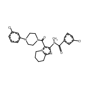 CN(C(=O)c1cccc(Cl)c1)c1nc2n(c1C(=O)N1CCN(c3cccc(Cl)c3)CC1)CCCC2